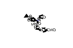 O=CN1CCN(Cc2cnc(NC(=O)/C(=N/O[C@@H]3CCOC3)c3ccc(S(=O)(=O)C4CC4)cc3)s2)CC1